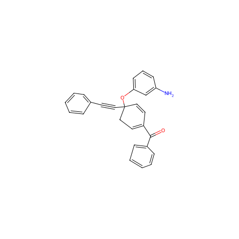 Nc1cccc(OC2(C#Cc3ccccc3)C=CC(C(=O)c3ccccc3)=CC2)c1